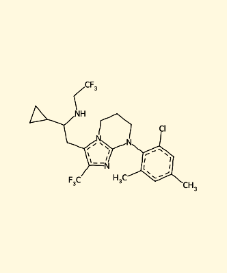 Cc1cc(C)c(N2CCCn3c2nc(C(F)(F)F)c3CC(NCC(F)(F)F)C2CC2)c(Cl)c1